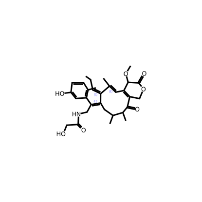 CC/C=C1C(\C)=C\C2=C(COC(=O)C2OC)C(=O)C(C)C(C)CC\1=C(/CNC(=O)CO)c1cc(O)ccc1C